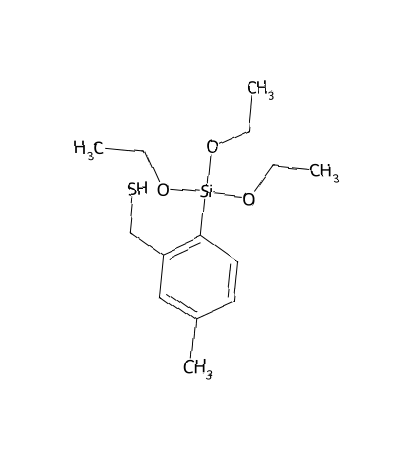 CCO[Si](OCC)(OCC)c1ccc(C)cc1CS